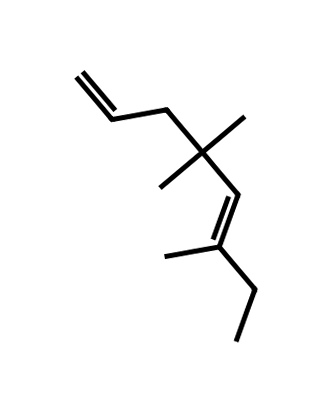 C=CCC(C)(C)/C=C(\C)CC